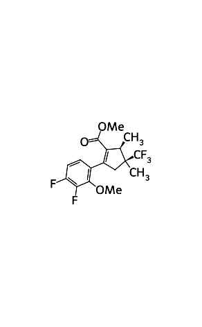 COC(=O)C1=C(c2ccc(F)c(F)c2OC)C[C@](C)(C(F)(F)F)[C@@H]1C